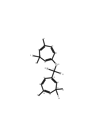 CC1=CC(C)(I)C=C(OC(F)(F)C2=CC(C)(I)C=C(C)C=C2)C=C1